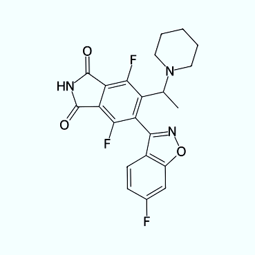 CC(c1c(F)c2c(c(F)c1-c1noc3cc(F)ccc13)C(=O)NC2=O)N1CCCCC1